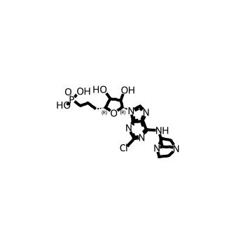 O=P(O)(O)CCC[C@H]1O[C@@H](n2cnc3c(NC4CN5CCN4CC5)nc(Cl)nc32)C(O)C1O